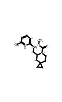 CC(C)(C)OC(=O)N1CCC2(CC2)CC1CNc1cccc(Cl)n1